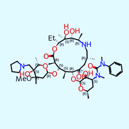 CC[C@H]1OC(=O)[C@H](C)[C@@H](O[C@H]2C[C@@](C)(OC)[C@](O)(CN3CCCC3)[C@H](C)O2)[C@H](C)[C@@H](O[C@@H]2O[C@H](C)C[C@H](N(C)C(=O)N(C)c3ccccc3)[C@H]2O)[C@](C)(O)C[C@@H](C)CN[C@H](C)[C@@H](O)[C@]1(C)O